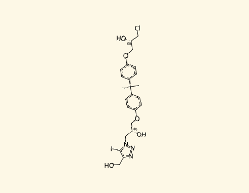 CC(C)(c1ccc(OC[C@H](O)CCl)cc1)c1ccc(OC[C@H](O)Cn2nnc(CO)c2I)cc1